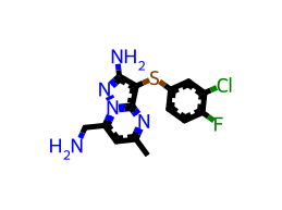 Cc1cc(CN)n2nc(N)c(Sc3ccc(F)c(Cl)c3)c2n1